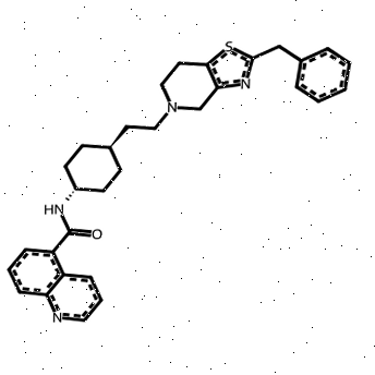 O=C(N[C@H]1CC[C@H](CCN2CCc3sc(Cc4ccccc4)nc3C2)CC1)c1cccc2ncccc12